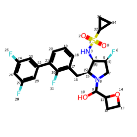 O=S(=O)(N[C@H]1[C@@H](F)CN(C(O)C2CCO2)[C@H]1Cc1cccc(-c2cc(F)cc(F)c2)c1F)C1CC1